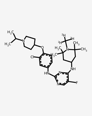 [2H]C([2H])([2H])N1C(C)(C)CC(Nc2nc(Nc3ccc(OC4CCN(C(C)C)CC4)c(Cl)c3)ncc2F)CC1(C)C